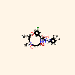 CCCC1CCN(CCC)C(=O)CCCC(=O)N[C@H]([C@H](O)CNCc2cccc(C(F)(F)F)c2)Cc2cc(F)cc(c2)OC1